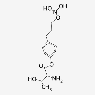 CC(O)C(N)C(=O)Oc1ccc(CCCON(O)O)cc1